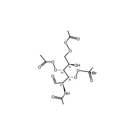 Br.CC(=O)N[C@@H](C=O)[C@@H](OOC(C)=O)[C@H](OOC(C)=O)[C@H](O)COOC(C)=O